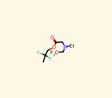 CCN(CC(=O)OCC(C)(F)F)CC(F)(F)F